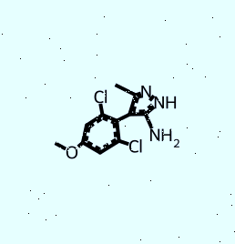 COc1cc(Cl)c(-c2c(C)n[nH]c2N)c(Cl)c1